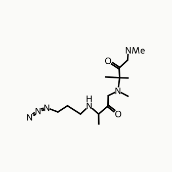 CNCC(=O)C(C)(C)N(C)CC(=O)C(C)NCCCN=[N+]=[N-]